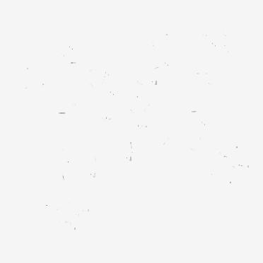 COCCN(CCOC12CC3(C)CC(C)(CC(Cn4ncc(-c5ccc(N6CCc7c(OC)ccc(C(=O)Nc8nc9ccccc9s8)c7C6)nc5C(=O)O)c4C)(C3)C1)C2)C(=O)OCC=Cc1ccc(O[C@@H]2O[C@H](C(=O)O)[C@@H](O)[C@H](O)[C@H]2O)c(NC(=O)CCNC(=O)OCC=Cc2ccc(O[C@@H]3O[C@H](C(=O)O)[C@@H](O)[C@H](O)[C@H]3O)c(NC(=O)CCNC(=O)CCN3C(=O)C=CC3=O)c2)c1